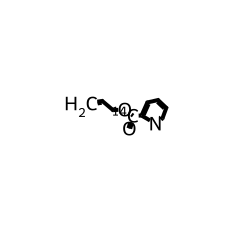 C=CCO[14C](=O)c1ccccn1